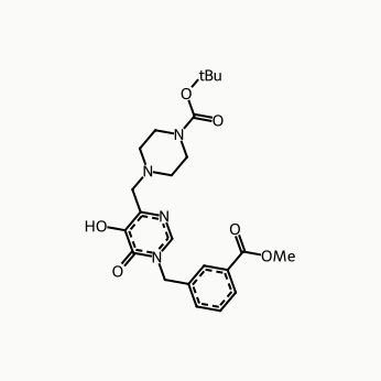 COC(=O)c1cccc(Cn2cnc(CN3CCN(C(=O)OC(C)(C)C)CC3)c(O)c2=O)c1